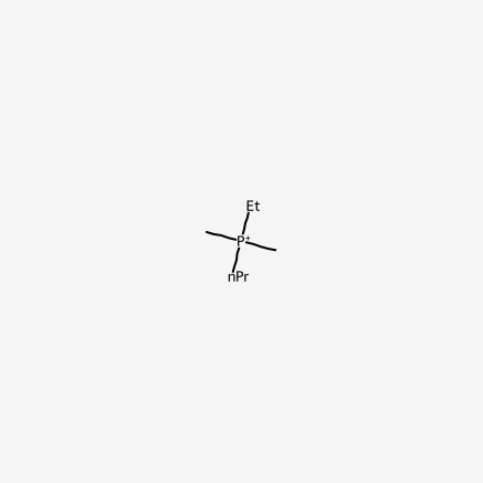 CCC[P+](C)(C)CC